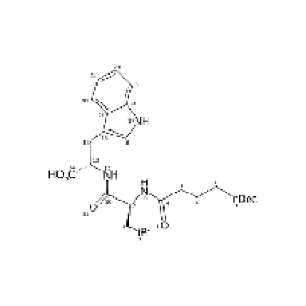 CCCCCCCCCCCCCC(=O)N[C@@H](CC(C)C)C(=O)N[C@@H](Cc1c[nH]c2ccccc12)C(=O)O